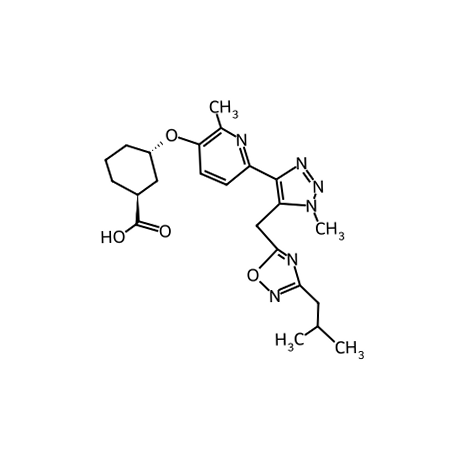 Cc1nc(-c2nnn(C)c2Cc2nc(CC(C)C)no2)ccc1O[C@H]1CCC[C@H](C(=O)O)C1